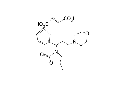 CC1CN(C(CCN2CCOCC2)c2ccccc2)C(=O)O1.O=C(O)C=CC(=O)O